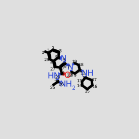 Cc1ccc2nc(N3CCC(NC4CCCCC4)CC3)c(C(=O)NC(C)N)cc2c1